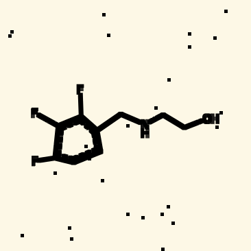 OCCNCc1ccc(F)c(F)c1F